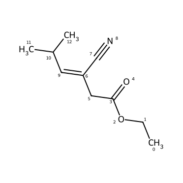 CCOC(=O)C/C(C#N)=C/C(C)C